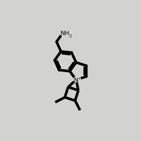 CC1C(C)C2C1[N+]21C=Cc2cc(CN)ccc21